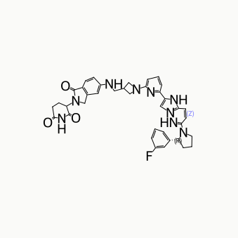 N=C(/C=C\c1ncc(-c2cccc(N3CC(CNc4ccc5c(c4)CN(C4CCC(=O)NC4=O)C5=O)C3)n2)[nH]1)N1CCC[C@@H]1c1cccc(F)c1